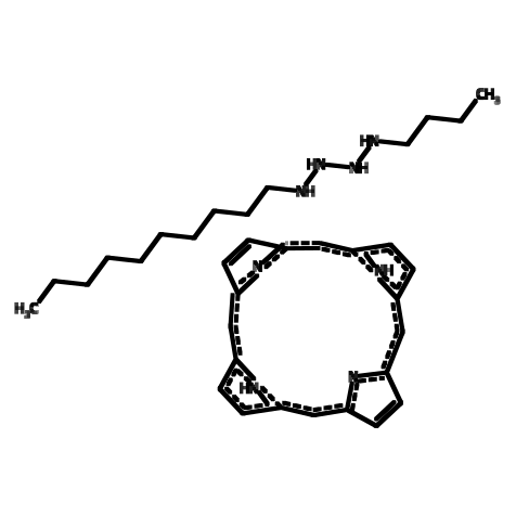 C1=Cc2cc3ccc(cc4nc(cc5ccc(cc1n2)[nH]5)C=C4)[nH]3.CCCCCCCCCCNNNNCCCC